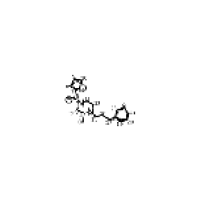 C[C@H]1[C@H](C)N(C(=O)c2ccco2)CCN1CCCc1ccccc1